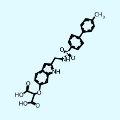 Cc1ccc(-c2ccc(S(=O)(=O)NCc3cc4ccc(OC(C(=O)O)C(=O)O)cc4[nH]3)cc2)cc1